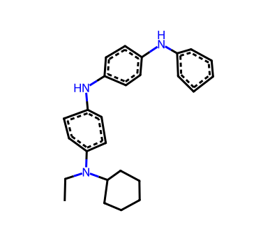 CCN(c1ccc(Nc2ccc(Nc3ccccc3)cc2)cc1)C1CCCCC1